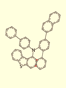 c1ccc(-c2ccc(N(c3cc(-c4ccc5ccccc5c4)ccc3-c3ccccc3)c3cccc4sc5ccccc5c34)cc2)cc1